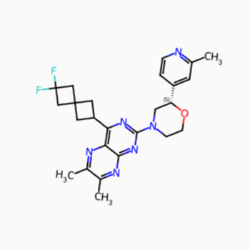 Cc1cc([C@H]2CN(c3nc(C4CC5(C4)CC(F)(F)C5)c4nc(C)c(C)nc4n3)CCO2)ccn1